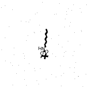 CCCCCCCCNC(=O)O[C@H](C)C(C)(C)C